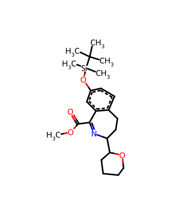 COC(=O)C1=NC(C2CCCCO2)CCc2ccc(O[Si](C)(C)C(C)(C)C)cc21